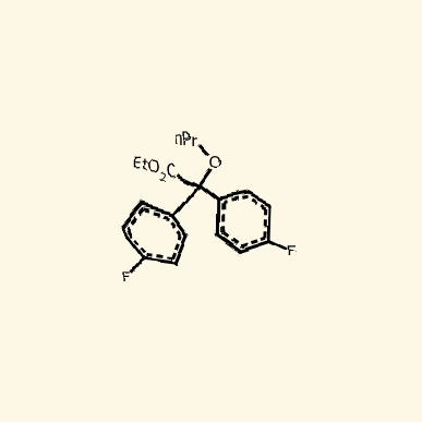 CCCOC(C(=O)OCC)(c1ccc(F)cc1)c1ccc(F)cc1